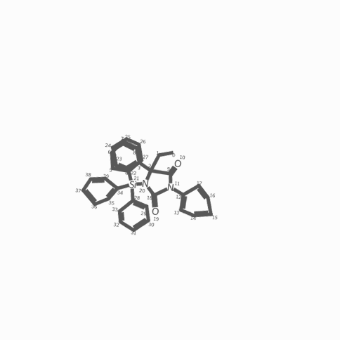 CCC1(c2ccccc2)C(=O)N(c2ccccc2)C(=O)N1[Si](c1ccccc1)(c1ccccc1)c1ccccc1